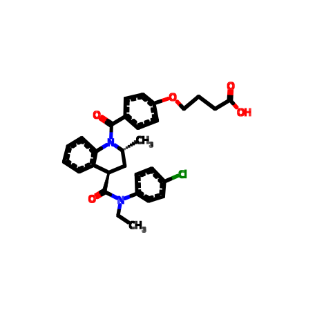 CCN(C(=O)[C@@H]1C[C@@H](C)N(C(=O)c2ccc(OCCCC(=O)O)cc2)c2ccccc21)c1ccc(Cl)cc1